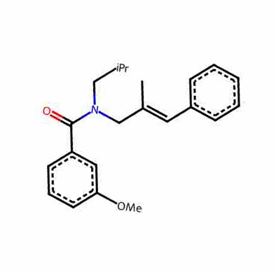 COc1cccc(C(=O)N(C/C(C)=C/c2ccccc2)CC(C)C)c1